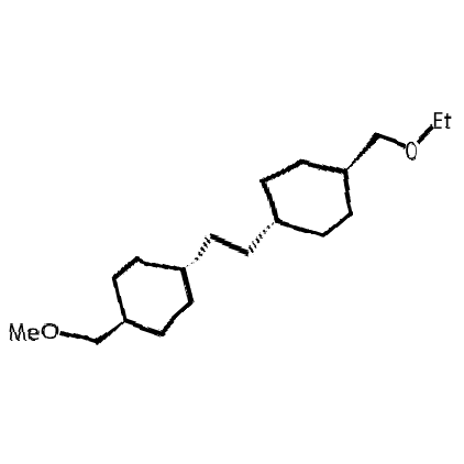 CCOC[C@H]1CC[C@H](CC[C@H]2CC[C@H](COC)CC2)CC1